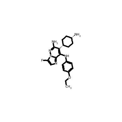 CCOc1ccc(Nc2c3ncc(F)n3nc(N)c2[C@H]2CC[C@@H](N)CC2)cc1